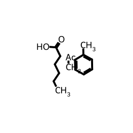 CC(C)=O.CCCCCC(=O)O.Cc1ccccc1